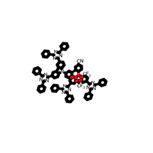 N#Cc1ccc(-n2c3ccc(-c4nc(-c5ccccc5)nc(-c5ccccc5)n4)cc3c3cc(-c4nc(-c5ccccc5)nc(-c5ccccc5)n4)ccc32)c(-c2cc(-n3c4ccc(-c5nc(-c6ccccc6)nc(-c6ccccc6)n5)cc4c4cc(-c5nc(-c6ccccc6)nc(-c6ccccc6)n5)ccc43)ccc2-c2cc(C(F)(F)F)cc(C(F)(F)F)c2)c1